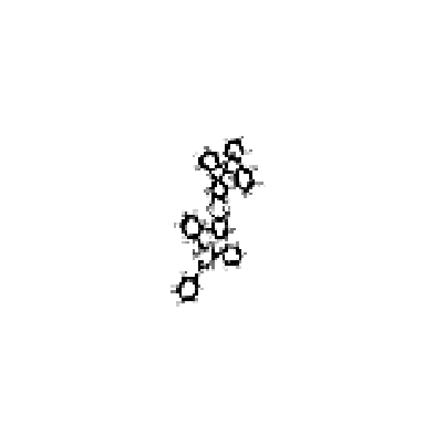 c1ccc(-c2nc(-c3ccccc3)nc(-c3ccccc3-c3cccc4c3Oc3cc5c(cc3O4)C(c3ccccc3)(c3ccccc3)c3ccccc3-5)n2)cc1